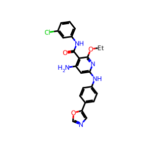 CCOc1nc(Nc2ccc(-c3cnco3)cc2)cc(N)c1C(=O)Nc1cccc(Cl)c1